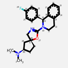 CN(C)[C@@H]1CC[C@]2(CN=C(N3CCc4ccccc4[C@@H]3c3ccc(F)cc3)O2)C1